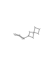 O=C=NC1CC2(CCC2)C1